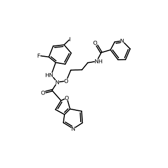 O=C(NCCCON(Nc1ccc(I)cc1F)C(=O)c1cc2cnccc2o1)c1cccnc1